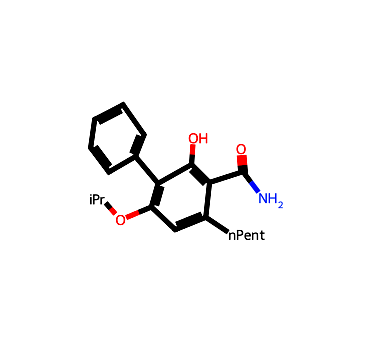 CCCCCc1cc(OC(C)C)c(-c2ccccc2)c(O)c1C(N)=O